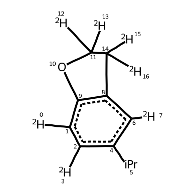 [2H]c1c([2H])c(C(C)C)c([2H])c2c1OC([2H])([2H])C2([2H])[2H]